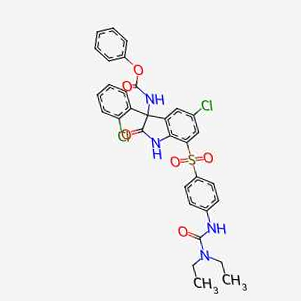 CCN(CC)C(=O)Nc1ccc(S(=O)(=O)c2cc(Cl)cc3c2NC(=O)C3(NC(=O)Oc2ccccc2)c2ccccc2Cl)cc1